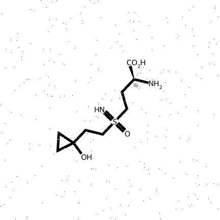 N=S(=O)(CC[C@H](N)C(=O)O)CCC1(O)CC1